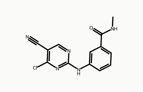 CNC(=O)c1cccc(Nc2ncc(C#N)c(Cl)n2)c1